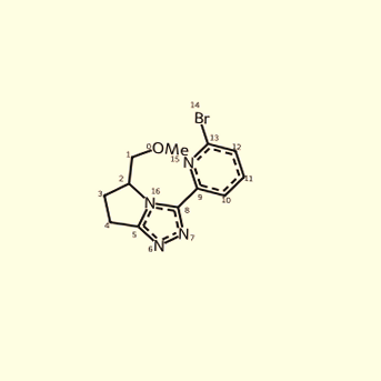 COCC1CCc2nnc(-c3cccc(Br)n3)n21